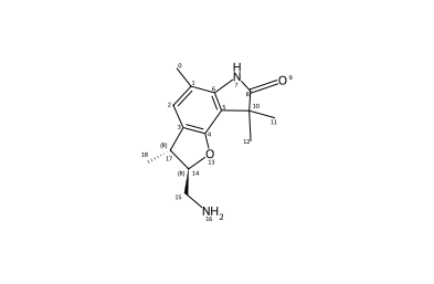 Cc1cc2c(c3c1NC(=O)C3(C)C)O[C@@H](CN)[C@@H]2C